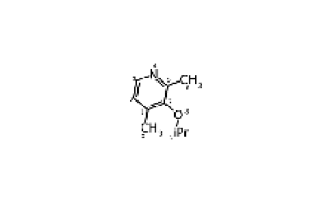 Cc1ccnc(C)c1OC(C)C